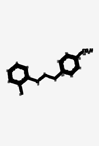 Cc1ccccc1OCCc1ccc(C(=O)O)cc1